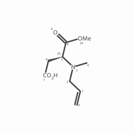 C=CCN(C)[C@@H](CC(=O)O)C(=O)OC